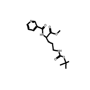 COC(=O)C(CCCNC(=O)OC(C)(C)C)NC(=O)c1cccnc1